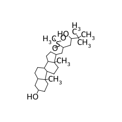 CC(C)(C)C(O)CC(CC1CCC2C3CCC4CC(O)CCC4(C)C3CCC12C)S(C)(=O)=O